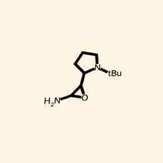 CC(C)(C)N1CCCC1C1OC1N